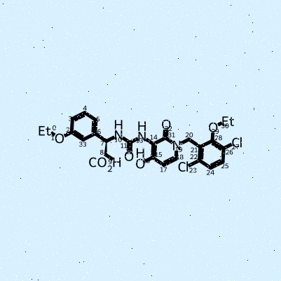 CCOc1cccc([C@H](CC(=O)O)NC(=O)Nc2c(O)ccn(Cc3c(Cl)ccc(Cl)c3OCC)c2=O)c1